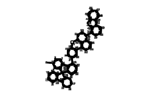 Cc1ccc2c(c1)C1(c3ccccc3-c3ccccc31)c1cccc(-c3ccc4c(c3)-c3cccc5c(-c6cccc7c6sc6ccccc67)ccc(c35)O4)c1-2